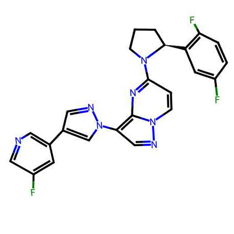 Fc1cncc(-c2cnn(-c3cnn4ccc(N5CCC[C@H]5c5cc(F)ccc5F)nc34)c2)c1